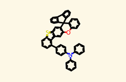 c1ccc(N(c2ccccc2)c2ccc(-c3cccc4sc5cc6c(cc5c34)Oc3ccccc3C63c4ccccc4-c4ccccc43)cc2)cc1